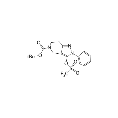 CC(C)(C)OC(=O)N1CCc2nn(-c3ccccc3)c(OS(=O)(=O)C(F)(F)F)c2C1